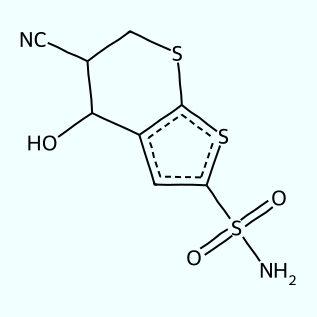 N#CC1CSc2sc(S(N)(=O)=O)cc2C1O